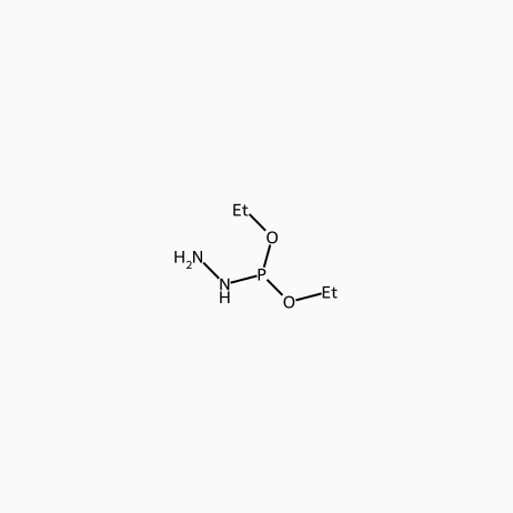 CCOP(NN)OCC